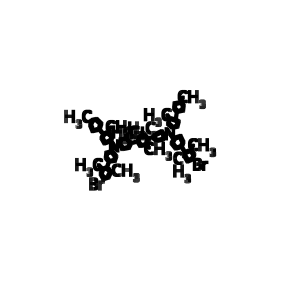 Cc1ccc(-c2ccc(N(c3ccc(-c4c(C)cc(Br)cc4C)cc3)c3ccc(-c4cc(C)c(-c5ccc(N(c6ccc(-c7c(C)cc(Br)cc7C)cc6)c6ccc(-c7ccc(C)cc7)c(C)c6)cc5C)cc4C)c(C)c3)cc2C)cc1